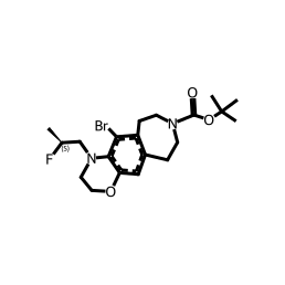 C[C@H](F)CN1CCOc2cc3c(c(Br)c21)CCN(C(=O)OC(C)(C)C)CC3